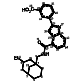 CCC1CC2CCCC(CNC(=O)c3cccc4nc(-c5cccc(C(=O)O)c5)cn34)(C1)C2